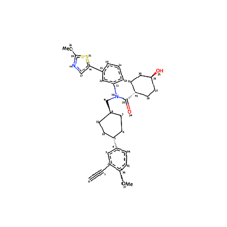 C#Cc1cc([C@H]2CC[C@H](CN(c3cccc(-c4cnc(OC)s4)c3)C(=O)[C@H]3CC[C@H](O)CC3)CC2)ccc1OC